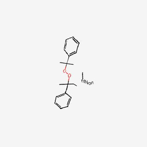 CC(C)(OOC(C)(C)c1ccccc1)c1ccccc1.CCCCCCCCCC